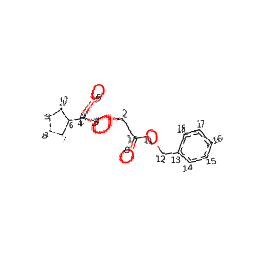 O=C(COC(=O)C1CCCC1)OCc1ccccc1